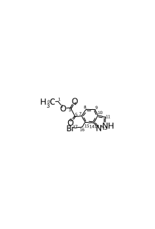 CCOC(=O)C(=O)c1ccc2c[nH]nc2c1CBr